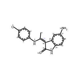 C/C(Nc1ccc(Cl)cc1)=C1/C(=O)Nc2ccc(N)cc21